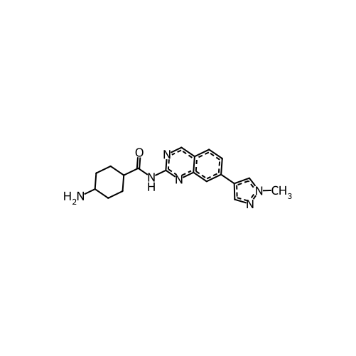 Cn1cc(-c2ccc3cnc(NC(=O)C4CCC(N)CC4)nc3c2)cn1